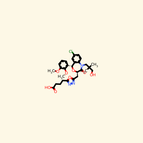 COc1cccc([C@H]2O[C@H](Cc3nnc(CCCC(=O)O)o3)C(=O)N(CC(C)(C)CO)c3ccc(Cl)cc32)c1OC